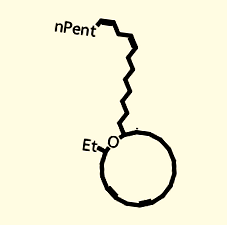 CCCCC/C=C\C/C=C\CCCCCCCC1[CH]CCCCCCC/C=C\C/C=C\CCC(CC)O1